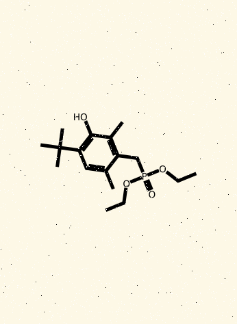 CCOP(=O)(Cc1c(C)cc(C(C)(C)C)c(O)c1C)OCC